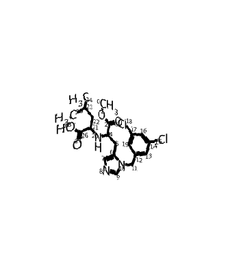 COC(=O)C(Cc1cncn1Cc1cc(Cl)cc(Cl)c1)NC(CC(C)C)C(=O)O